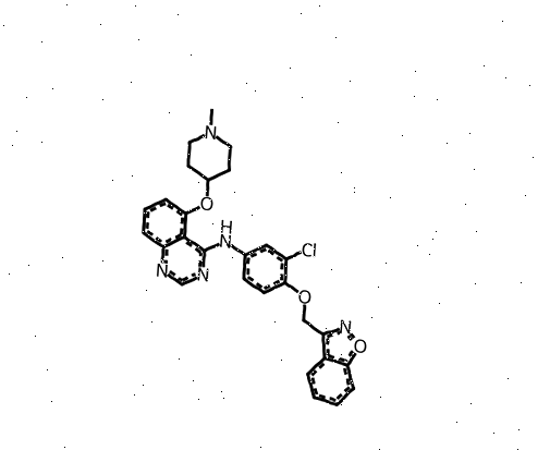 CN1CCC(Oc2cccc3ncnc(Nc4ccc(OCc5noc6ccccc56)c(Cl)c4)c23)CC1